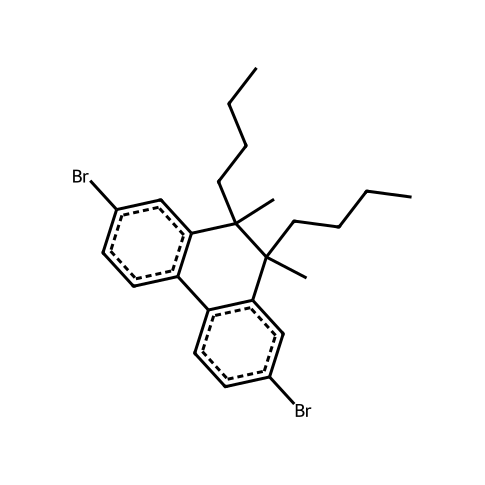 CCCCC1(C)c2cc(Br)ccc2-c2ccc(Br)cc2C1(C)CCCC